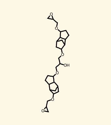 OC(COC1CC2CC1C1CCC(OCC3CO3)C21)COC1CCC2C3CC(CC3OCC3CO3)C12